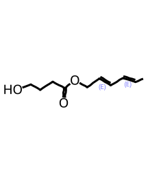 C/C=C/C=C/COC(=O)CCCO